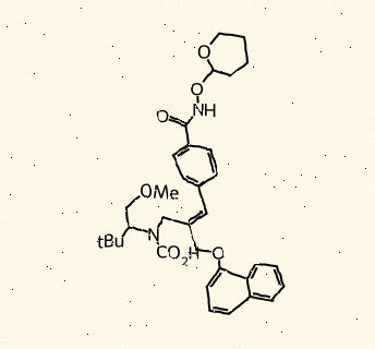 COCC(N(CC(=Cc1ccc(C(=O)NOC2CCCCO2)cc1)COc1cccc2ccccc12)C(=O)O)C(C)(C)C